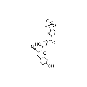 CS(=O)(=O)Nc1nc(C(=O)NCC(O)C(O)C(C#N)Cc2ccc(O)cc2)cs1